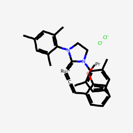 Cc1cc(C)c(N2CCN(c3c(C)cc(C)cc3C)[C]2=[Ru+2]=[C]=Cc2ccccc2OC(C)C)c(C)c1.[Cl-].[Cl-]